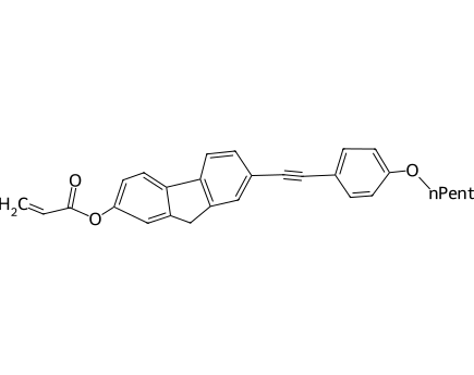 C=CC(=O)Oc1ccc2c(c1)Cc1cc(C#Cc3ccc(OCCCCC)cc3)ccc1-2